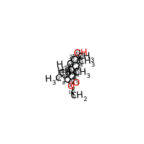 C=CCOC(=O)[C@]12CC[C@@H](C(=C)C)C1C1CCC3[C@@]4(C)CC[C@H](O)C(C)(C)C4CC[C@@]3(C)[C@]1(C)CC2